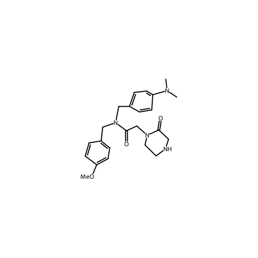 COc1ccc(CN(Cc2ccc(N(C)C)cc2)C(=O)CN2CCNCC2=O)cc1